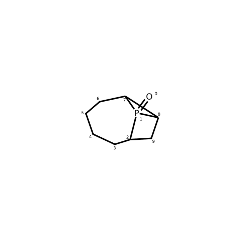 O=P12C3CCCCC1C2C3